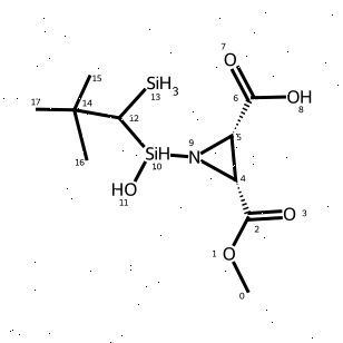 COC(=O)[C@H]1[C@@H](C(=O)O)N1[SiH](O)C([SiH3])C(C)(C)C